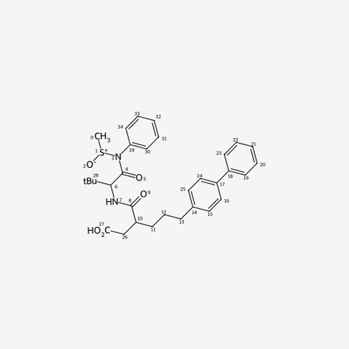 C[S+]([O-])N(C(=O)C(NC(=O)C(CCCc1ccc(-c2ccccc2)cc1)CC(=O)O)C(C)(C)C)c1ccccc1